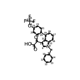 O=C(O)C(=O)c1cn(Cc2ccccc2)c2cccc(-c3ccc(OC(F)(F)F)cc3)c12